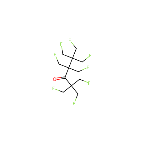 O=C(C(CF)(CF)CF)C(CF)(CF)C(CF)(CF)CF